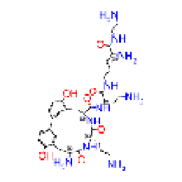 NCCC[C@@H]1NC(=O)[C@@H](N)Cc2cc(ccc2O)-c2ccc(O)c(c2)C[C@@H](C(=O)N[C@@H](CCN)C(=O)NCCC[C@H](N)C(=O)NCCN)NC1=O